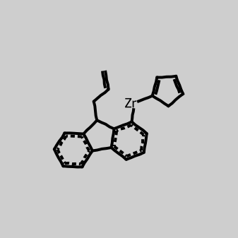 C=CCC1c2ccccc2-c2ccc[c]([Zr][C]3=CC=CC3)c21